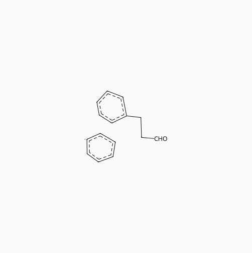 O=CCCc1ccccc1.[c]1ccccc1